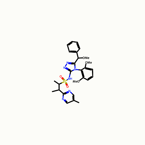 COc1cccc(OC)c1-n1c(NS(=O)(=O)C(C)C(C)c2ncc(C)cn2)nnc1C(OC)c1ccccc1